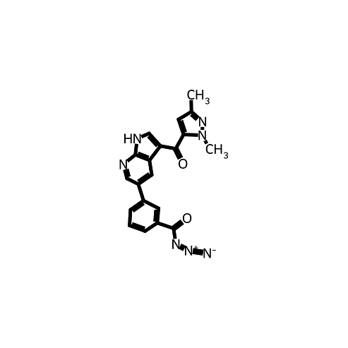 Cc1cc(C(=O)c2c[nH]c3ncc(-c4cccc(C(=O)N=[N+]=[N-])c4)cc23)n(C)n1